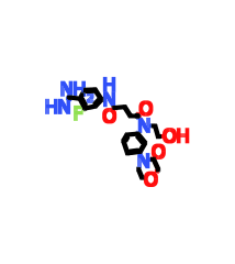 N=C(N)c1ccc(NC(=O)CCC(=O)N(CCO)c2cccc(N3CCOCC3=O)c2)cc1F